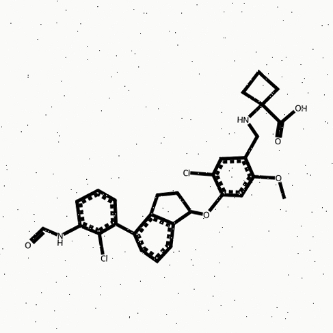 COc1cc(OC2CCc3c(-c4cccc(NC=O)c4Cl)cccc32)c(Cl)cc1CNC1(C(=O)O)CCC1